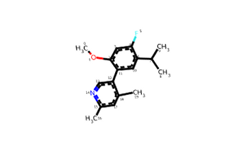 COc1cc(F)c(C(C)C)cc1-c1cnc(C)cc1C